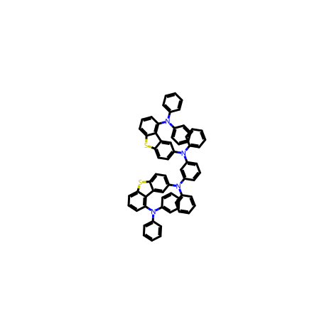 c1ccc(N(c2cccc(N(c3ccccc3)c3ccc4sc5cccc(N(c6ccccc6)c6ccccc6)c5c4c3)c2)c2ccc3sc4cccc(N(c5ccccc5)c5ccccc5)c4c3c2)cc1